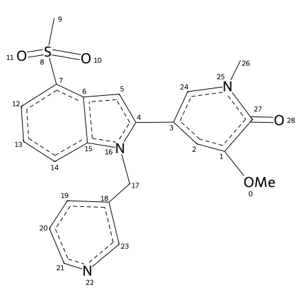 COc1cc(-c2cc3c(S(C)(=O)=O)cccc3n2Cc2cccnc2)cn(C)c1=O